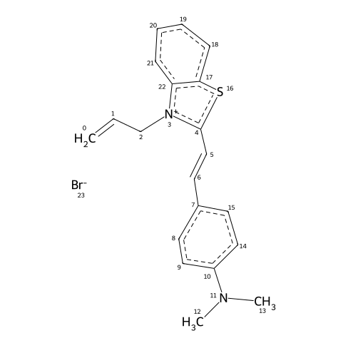 C=CC[n+]1c(/C=C/c2ccc(N(C)C)cc2)sc2ccccc21.[Br-]